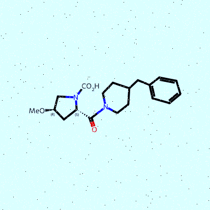 CO[C@@H]1C[C@@H](C(=O)N2CCC(Cc3ccccc3)CC2)N(C(=O)O)C1